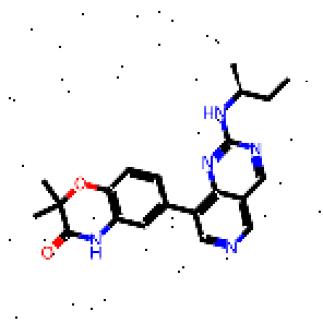 CC[C@H](C)Nc1ncc2cncc(-c3ccc4c(c3)NC(=O)C(C)(C)O4)c2n1